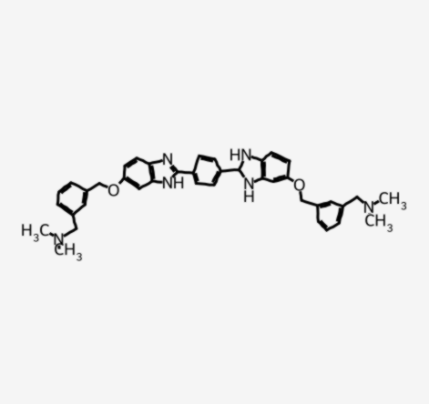 CN(C)Cc1cccc(COc2ccc3c(c2)NC(c2ccc(-c4nc5ccc(OCc6cccc(CN(C)C)c6)cc5[nH]4)cc2)N3)c1